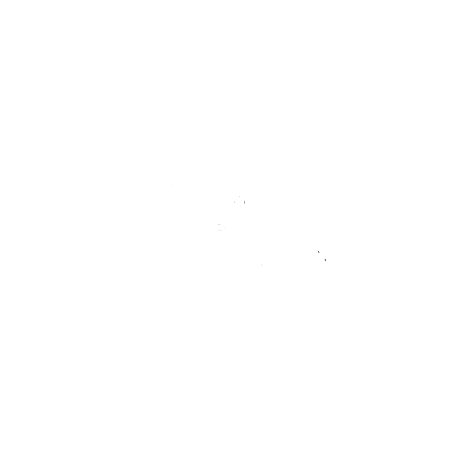 O=P(c1ccc2ncccc2c1)(c1ccc2ccc3cccc4ccc1c2c34)c1ccc2ccc3cccc4ccc1c2c34